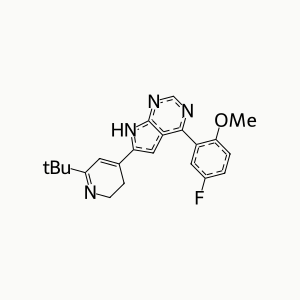 COc1ccc(F)cc1-c1ncnc2[nH]c(C3=CC(C(C)(C)C)=NCC3)cc12